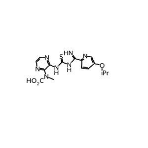 CC(C)Oc1ccc(C(=N)NC(=S)Nc2nccnc2N(C)C(=O)O)nc1